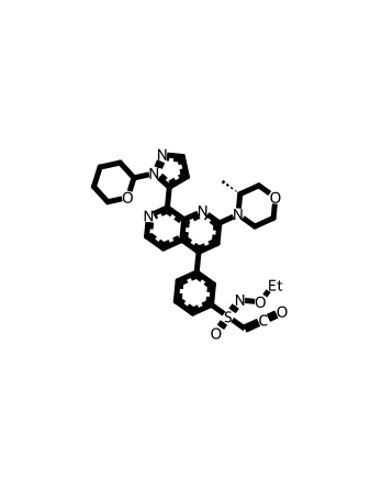 CCON=S(=O)(C=C=O)c1cccc(-c2cc(N3CCOC[C@H]3C)nc3c(-c4ccnn4C4CCCCO4)nccc23)c1